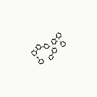 c1ccc(-c2cccc(N(c3ccc(-c4ccc5oc6ccc7nc(-c8ccccc8)oc7c6c5c4)cc3)c3ccc4c5ccccc5n(-c5ccccc5)c4c3)c2)cc1